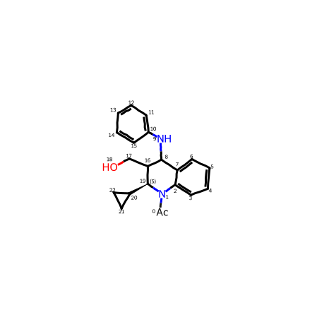 CC(=O)N1c2ccccc2C(Nc2ccccc2)C(CO)[C@@H]1C1CC1